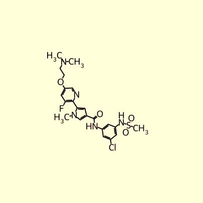 CN(C)CCOc1cnc(-c2cc(C(=O)Nc3cc(Cl)cc(NS(C)(=O)=O)c3)cn2C)c(F)c1